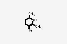 CC1=C(C(C)C)CCC(C)N1